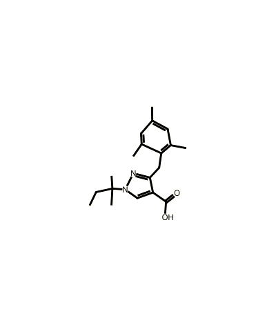 CCC(C)(C)n1cc(C(=O)O)c(Cc2c(C)cc(C)cc2C)n1